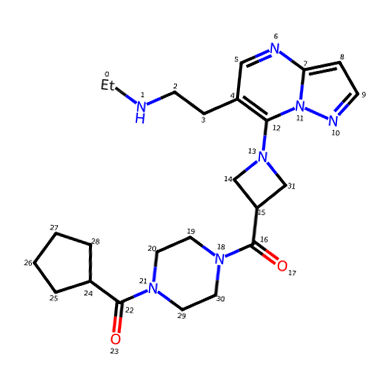 CCNCCc1cnc2ccnn2c1N1CC(C(=O)N2CCN(C(=O)C3CCCC3)CC2)C1